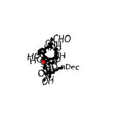 CCCCCCCCCCCCCCCC(=O)N(C)[C@H](CO)C(=O)N[C@H](C)C(=O)NCC(=O)N(C)[C@@H]1C(=O)N[C@@H](C)C(=O)N[C@H](C(=O)NC(C)C=O)Cc2ccc(O)c(c2)-c2cc1ccc2O